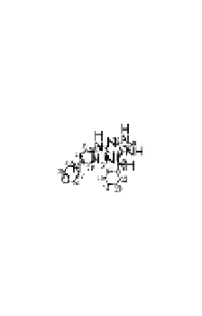 C=C(/N=C1/NCN/C1=C(/N)NC1CCCCC1)Nc1ccc(N2CCOCC2)cc1